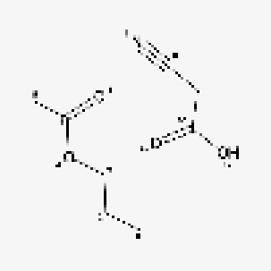 CCCOC(C)=O.N#CCC(=O)O